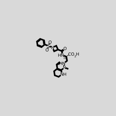 C=CC1=C(N(C)NC[C@H](NC(=O)C2CN(S(=O)(=O)c3ccccc3)C2)C(=O)O)NCCC1